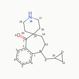 O=C1c2ccccc2C(CC2CC2)CCC12CCNCC2